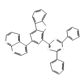 c1ccc(-c2nc(-c3ccccc3)nc(-c3cc(-c4ccnc5ncccc45)cc4c3sc3ccccc34)n2)cc1